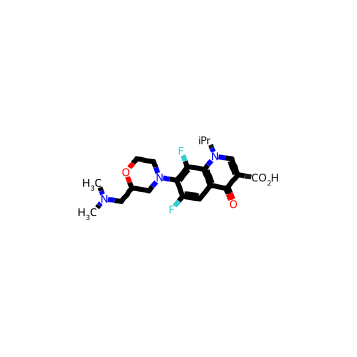 CC(C)n1cc(C(=O)O)c(=O)c2cc(F)c(N3CCOC(CN(C)C)C3)c(F)c21